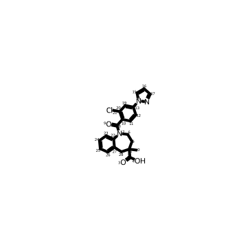 CC1(C(=O)O)CCN(C(=O)c2ccc(-n3cccn3)cc2Cl)c2ccccc2C1